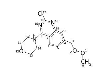 COOCc1ccc2c(N3CCOCC3)nc(Cl)nc2c1